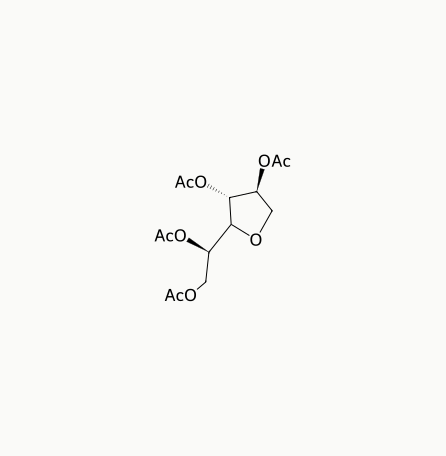 CC(=O)OC[C@@H](OC(C)=O)C1OC[C@H](OC(C)=O)[C@H]1OC(C)=O